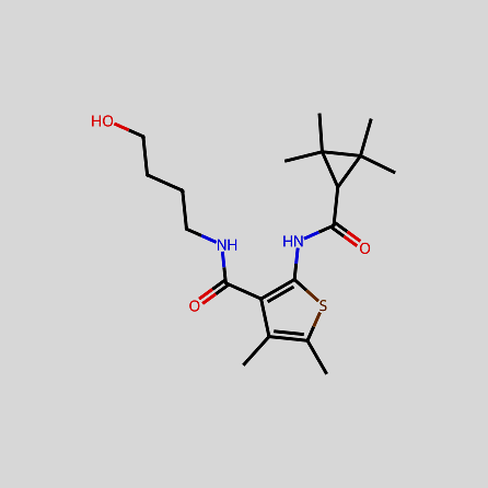 Cc1sc(NC(=O)C2C(C)(C)C2(C)C)c(C(=O)NCCCCO)c1C